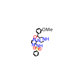 COc1cccc(C(=O)C2CNCCN2c2nccnc2NS(=O)(=O)c2ccccc2)c1